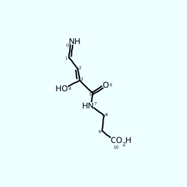 N=C/C=C(\O)C(=O)NCCC(=O)O